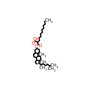 CCCCCCCCCCCC(C(=O)O)C(=O)OC1CC[C@@]2(C)C(=CCC3C2CC[C@@]2(C)C3CC[C@@H]2[C@H](C)CCCC(C)C)C1